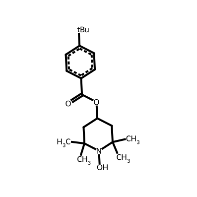 CC(C)(C)c1ccc(C(=O)OC2CC(C)(C)N(O)C(C)(C)C2)cc1